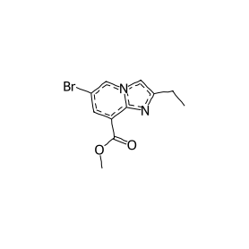 CCc1cn2cc(Br)cc(C(=O)OC)c2n1